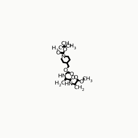 C=C(NC(=O)OCC1CCN(C(=O)OC(C)(C)C)CC1)C(=O)NC(=C)C(=O)OC